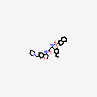 O=C(CC(NS(=O)(=O)c1ccc2ccccc2c1)c1ccc2sccc2c1)NC1CCOc2cc(CN3CCCCC3)ccc21